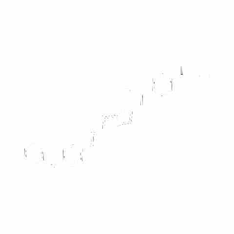 CCCCOC(=O)c1ccc(/C(C#N)=C/c2cc3sc(/N=N/c4ccc(Nc5ccccc5)cc4)nc3s2)cc1